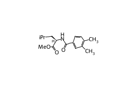 COC(=O)[C@@H](CC(C)C)NC(=O)c1ccc(C)c(C)c1